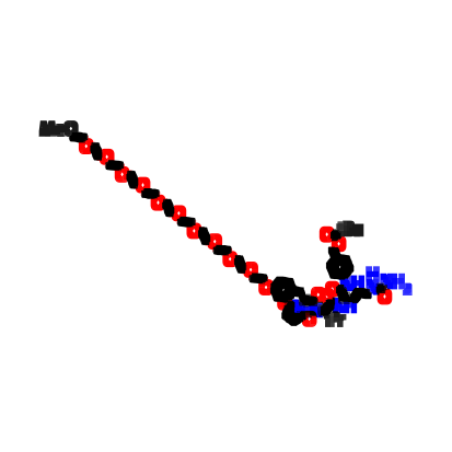 COCCOCCOCCOCCOCCOCCOCCOCCOCCOCCOCCOc1ccc(C[C@@H](C(=O)N[C@H](C(=O)N[C@@H](CCCNC(N)=O)C(=O)Nc2ccc(COC(=O)C(C)(C)C)cc2)C(C)C)N2C(=O)C=CC2=O)cc1